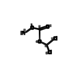 CC(C)OC(=O)OC(Cl)Cl